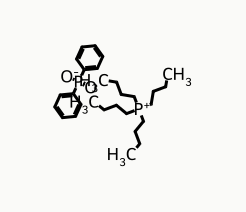 CCCC[P+](CCCC)(CCCC)CCCC.O=P([O-])(c1ccccc1)c1ccccc1